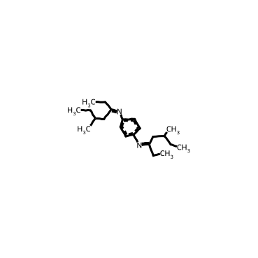 CC/C(CC(C)CC)=N/c1ccc(/N=C(/CC)CC(C)CC)cc1